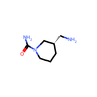 NC[C@@H]1CCCN(C(N)=O)C1